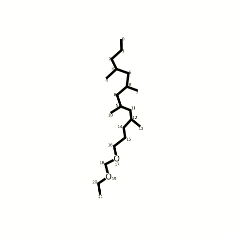 CCCC(C)CC(C)CC(C)CC(C)CCCOCOCC